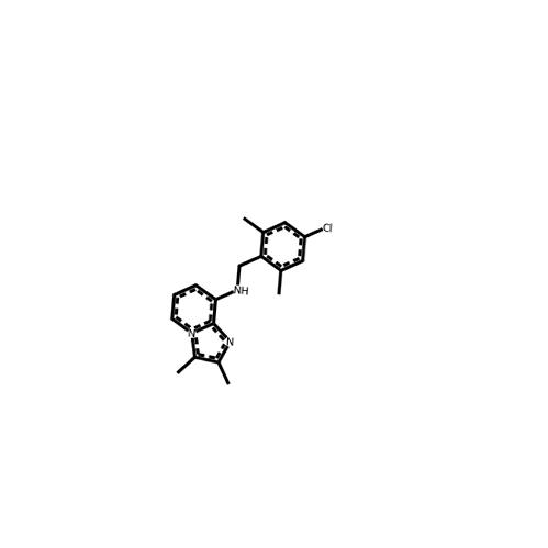 Cc1cc(Cl)cc(C)c1CNc1cccn2c(C)c(C)nc12